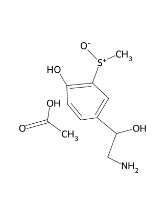 CC(=O)O.C[S+]([O-])c1cc(C(O)CN)ccc1O